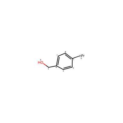 [CH2]CCc1ccc(CO)cc1